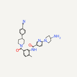 Cc1ccc(C(=O)N2CCC(c3ccc(C#N)cc3)CC2)cc1NC(=O)c1ccc(N2CCC(N)CC2)nc1